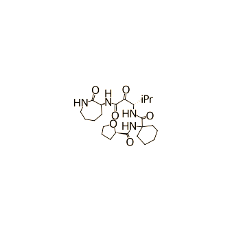 CC(C)[C@H](NC(=O)C1(NC(=O)[C@H]2CCCO2)CCCCC1)C(=O)C(=O)N[C@H]1CCCCNC1=O